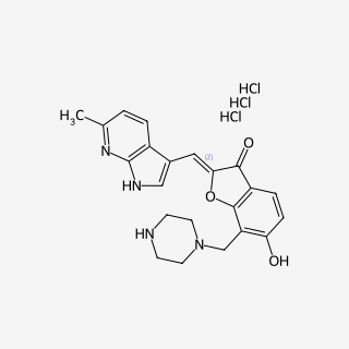 Cc1ccc2c(/C=C3\Oc4c(ccc(O)c4CN4CCNCC4)C3=O)c[nH]c2n1.Cl.Cl.Cl